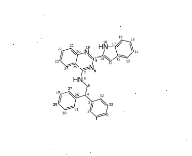 c1ccc(C(CNc2nc(-c3cc4ccccc4[nH]3)nc3ccccc23)c2ccccc2)cc1